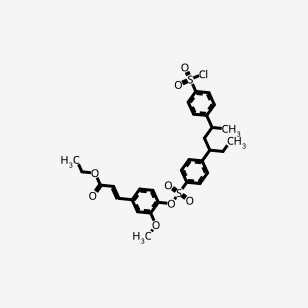 CCOC(=O)/C=C/c1ccc(OS(=O)(=O)c2ccc(C(CC)CC(C)c3ccc(S(=O)(=O)Cl)cc3)cc2)c(OC)c1